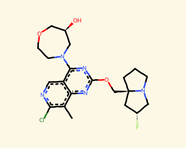 Cc1c(Cl)ncc2c(N3CCOC[C@@H](O)C3)nc(OC[C@@]34CCCN3C[C@H](F)C4)nc12